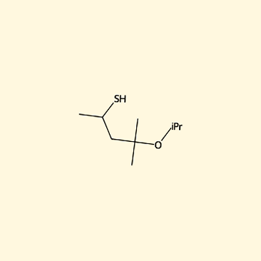 CC(S)CC(C)(C)OC(C)C